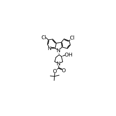 CC(C)(C)OC(=O)N1CC[C@H](n2c3ccc(Cl)cc3c3cc(Cl)cnc32)[C@@H](O)C1